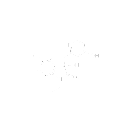 CCN1C(=O)C(O)(Cc2cc(O)ccn2)c2cc(Cl)ccc21